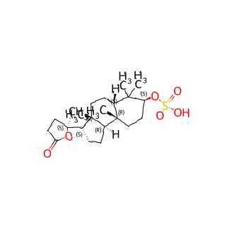 CC1(C)[C@@H](OS(=O)(=O)O)CC[C@]2(C)[C@H]3CC[C@H]([C@]4(C)CCC(=O)O4)[C@]3(C)CC[C@H]12